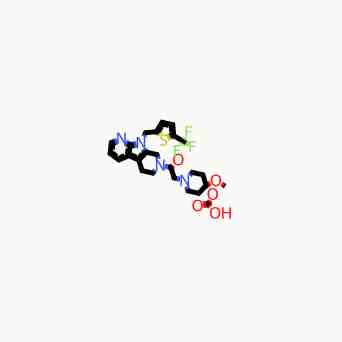 COC1(OC(=O)O)CCN(CC(=O)N2CCc3c(n(Cc4ccc(C(F)(F)F)s4)c4ncccc34)C2)CC1